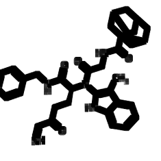 Cc1c(N(C(=O)CNC(=O)C23CC4CC(CC(C4)C2)C3)[C@@H](CCC(=O)C=N)C(=O)NCc2ccccc2)[nH]c2ccccc12